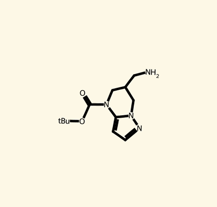 CC(C)(C)OC(=O)N1CC(CN)Cn2nccc21